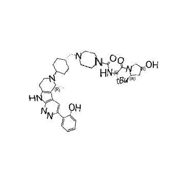 C[C@@H]1C[C@@H](O)CN1C(=O)[C@@H](NC(=O)N1CCN(C[C@H]2CC[C@H](N3CCc4[nH]c5nnc(-c6ccccc6O)cc5c4[C@H]3C)CC2)CC1)C(C)(C)C